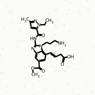 CCn1nc(C)cc1C(=O)Nc1nc2cc(C(=O)OC)cc(/C=C/CC(=O)O)c2n1CCCN